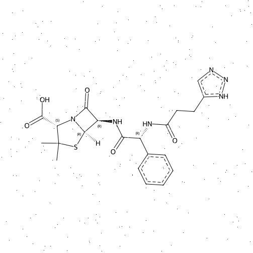 CC1(C)S[C@@H]2[C@H](NC(=O)[C@H](NC(=O)CCc3cnn[nH]3)c3ccccc3)C(=O)N2[C@H]1C(=O)O